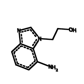 Nc1cccc2ncn(CCO)c12